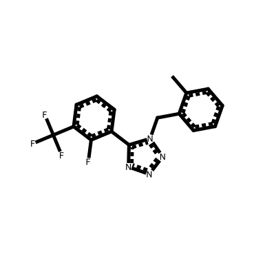 Cc1ccccc1Cn1nnnc1-c1cccc(C(F)(F)F)c1F